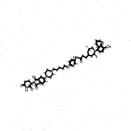 C[C@H]1CC(CCC(=O)Nc2ccc(OCCCCCN3CCN(c4ccc5c(c4)C(=O)N(C4CCC(=O)NC4=O)C5=O)CC3)nc2)C[C@H](C)N(c2ccc(C#N)c3ncccc23)C1